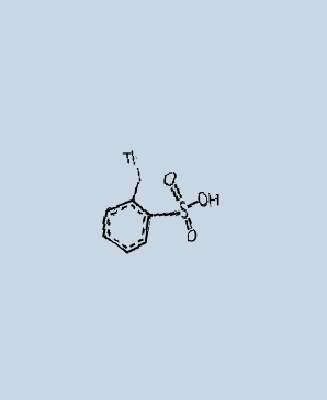 O=S(=O)(O)c1ccccc1I.[Tl]